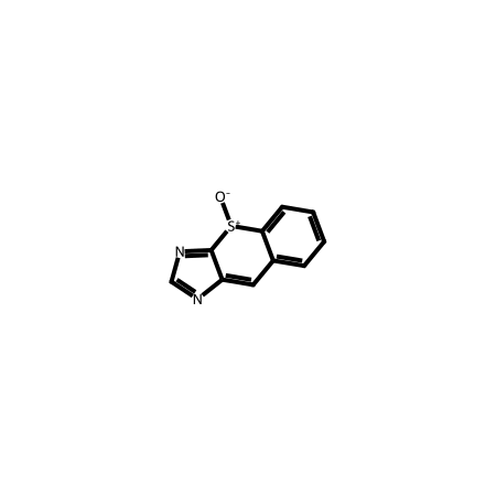 [O-][s+]1c2ncnc-2cc2ccccc21